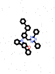 c1ccc(-c2cccc(-c3ccc(-n4c5ccccc5c5cc6c(cc54)oc4ccccc46)c(Cc4nc(-c5ccccc5)nc(-c5ccccc5)n4)c3)c2)cc1